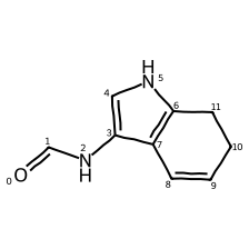 O=CNc1c[nH]c2c1C=CCC2